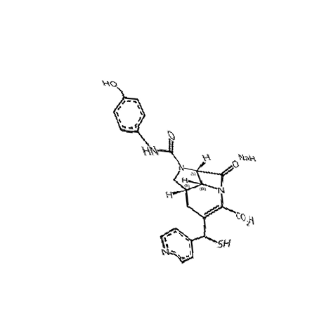 O=C(O)C1=C(C(S)c2ccncc2)C[C@@H]2CN(C(=O)Nc3ccc(O)cc3)[C@@H]3C(=O)N1[C@H]23.[NaH]